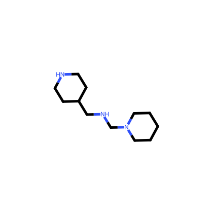 C1CCN(CNCC2CCNCC2)CC1